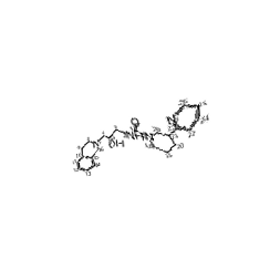 O=C(NC[C@H](O)CN1CCc2ccccc2C1)N1CCCC(c2ccccn2)C1